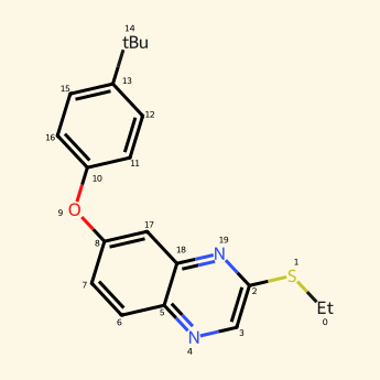 CCSc1cnc2ccc(Oc3ccc(C(C)(C)C)cc3)cc2n1